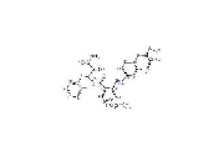 CS(=O)(=O)O.NC(=O)C(=O)C(Cc1ccccc1)NC(=O)c1ccccc1/C=C/c1ccc(CN2CCCC2=O)cc1